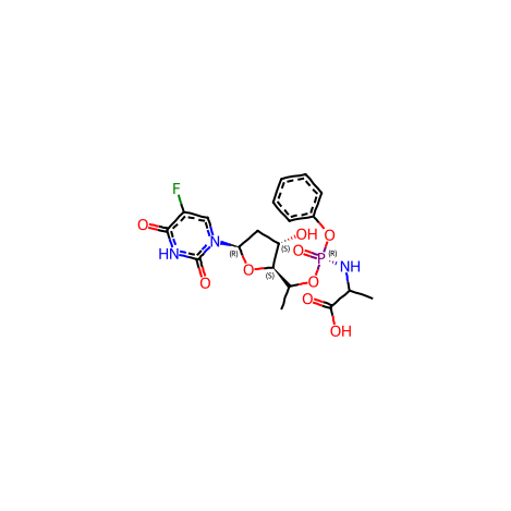 CC(N[P@](=O)(Oc1ccccc1)OC(C)[C@H]1O[C@@H](n2cc(F)c(=O)[nH]c2=O)C[C@@H]1O)C(=O)O